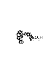 CCOC(Cc1ccc(OCCN(C)C2c3ccccc3CCc3ccc(-c4ccccc4)cc32)cc1)C(=O)O